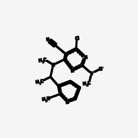 CC(c1cccnc1N)N(C)c1nc([S+](C)[O-])nc(Cl)c1C#N